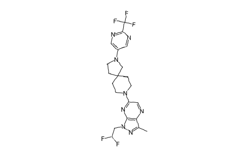 Cc1nn(CC(F)F)c2nc(N3CCC4(CCN(c5cnc(C(F)(F)F)nc5)C4)CC3)cnc12